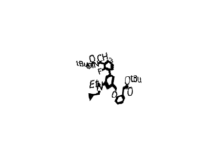 CCN(CC1CC1)c1cc(COc2ccccc2CC(=O)OC(C)(C)C)cc(-c2cccc([C@@H](C)NC(=O)OC(C)(C)C)c2F)c1